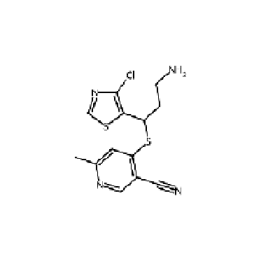 Cc1cc(SC(CCN)c2scnc2Cl)c(C#N)cn1